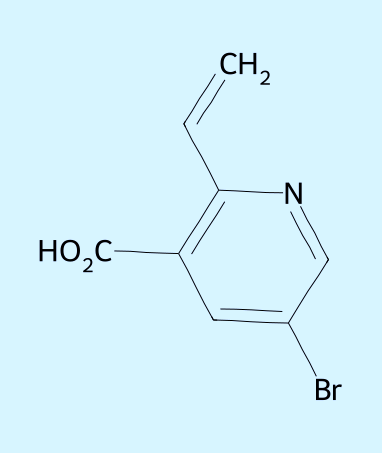 C=Cc1ncc(Br)cc1C(=O)O